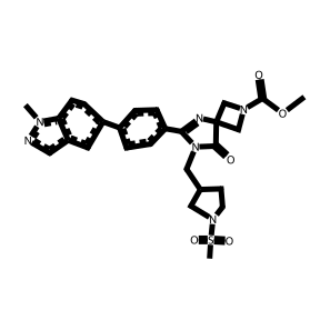 COC(=O)N1CC2(C1)N=C(c1ccc(-c3ccc4c(cnn4C)c3)cc1)N(CC1CCN(S(C)(=O)=O)C1)C2=O